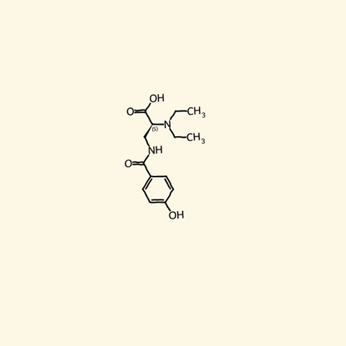 CCN(CC)[C@@H](CNC(=O)c1ccc(O)cc1)C(=O)O